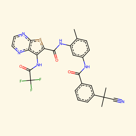 Cc1ccc(NC(=O)c2cccc(C(C)(C)C#N)c2)cc1NC(=O)c1sc2nccnc2c1NC(=O)C(F)(F)F